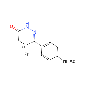 CC[C@@H]1CC(=O)NN=C1c1ccc(NC(C)=O)cc1